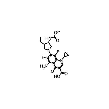 CCC1CN(c2c(F)c(N)c3c(=O)c(C(=O)O)cn(C4CC4)c3c2F)CC1NC(=O)OC